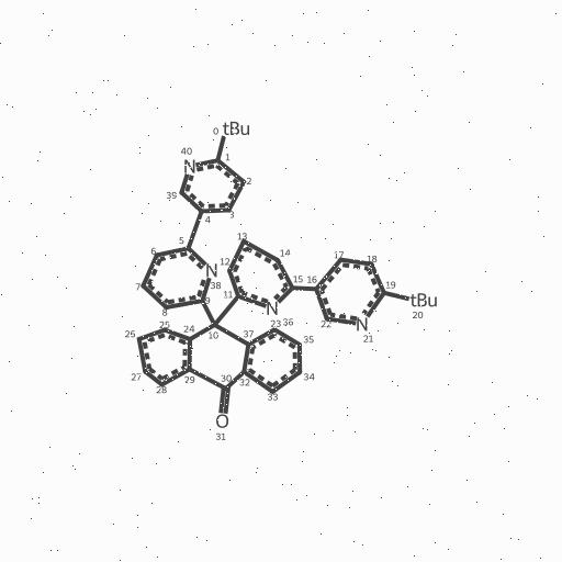 CC(C)(C)c1ccc(-c2cccc(C3(c4cccc(-c5ccc(C(C)(C)C)nc5)n4)c4ccccc4C(=O)c4ccccc43)n2)cn1